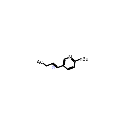 CCCCc1ccc(/C=C/CC(C)=O)cn1